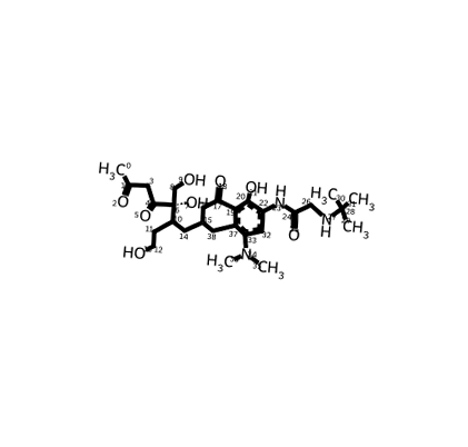 CC(=O)CC(=O)[C@@](O)(CO)C(CCO)CC1CC(=O)c2c(O)c(NC(=O)CNC(C)(C)C)cc(N(C)C)c2C1